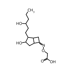 CCCC(O)CCC1C(O)CC2/C(=N\OCC(=O)O)CC21